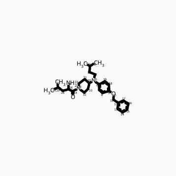 CC(C)CCN(c1ccc(OCc2ccccc2)cc1)C1CCN(C(=O)C(N)CC(C)C)CC1